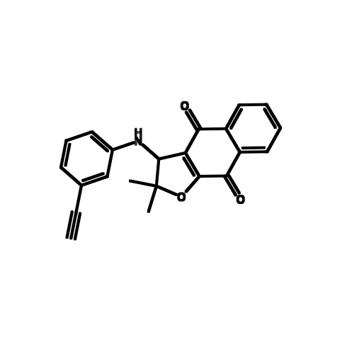 C#Cc1cccc(NC2C3=C(OC2(C)C)C(=O)c2ccccc2C3=O)c1